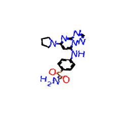 NS(=O)(=O)c1ccc(Nc2cc(N3CCCC3)nc3ncnn23)cc1